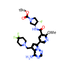 COc1ncc(-c2cc(CN3CCC(F)(F)CC3)c3c(N)ncnn23)cc1C(=O)N[C@@H]1CN(C(=O)OC(C)(C)C)C[C@@H]1F